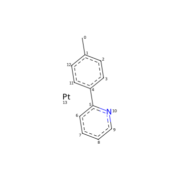 Cc1ccc(-c2ccccn2)cc1.[Pt]